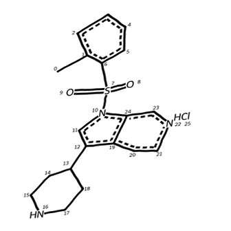 Cc1ccccc1S(=O)(=O)n1cc(C2CCNCC2)c2ccncc21.Cl